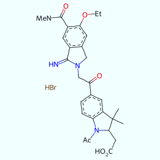 Br.CCOc1cc2c(cc1C(=O)NC)C(=N)N(CC(=O)c1ccc3c(c1)C(C)(C)C(CC(=O)O)N3C(C)=O)C2